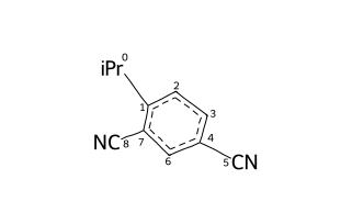 CC(C)c1ccc(C#N)cc1C#N